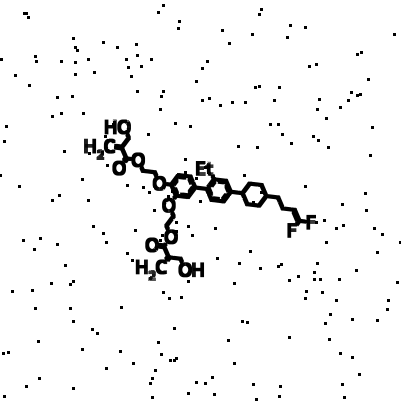 C=C(CO)C(=O)OCCOc1ccc(-c2ccc(C3CCC(CCC=C(F)F)CC3)cc2CC)cc1OCCOC(=O)C(=C)CO